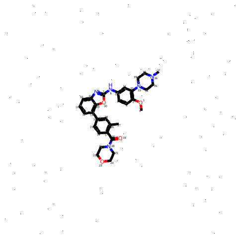 COc1ccc(Nc2nc3cccc(-c4ccc(C(=O)N5CCOCC5)c(C)c4)c3o2)cc1N1CCN(C)CC1